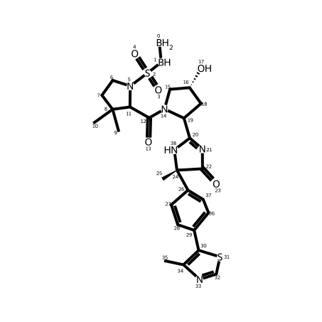 BBS(=O)(=O)N1CCC(C)(C)C1C(=O)N1C[C@H](O)CC1C1=NC(=O)[C@](C)(c2ccc(-c3scnc3C)cc2)N1